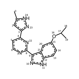 Cc1cc(-c2ccnc(-c3n[nH]c4ccc(OC(C)C)cc34)n2)n[nH]1